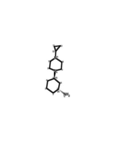 N[C@@H]1CCC[C@@H](N2CCN(C3CC3)CC2)C1